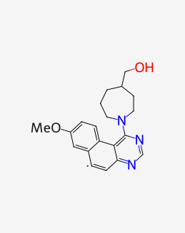 COc1ccc2c([c]cc3ncnc(N4CCCC(CO)CC4)c32)c1